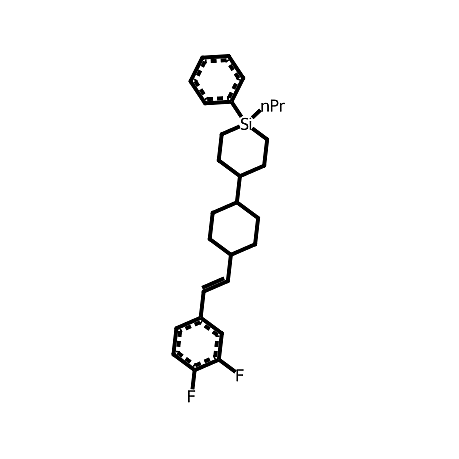 CCC[Si]1(c2ccccc2)CCC(C2CCC(C=Cc3ccc(F)c(F)c3)CC2)CC1